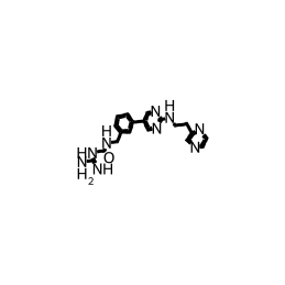 N=C(N)NC(=O)NCc1cccc(-c2cnc(NCCc3cnccn3)nc2)c1